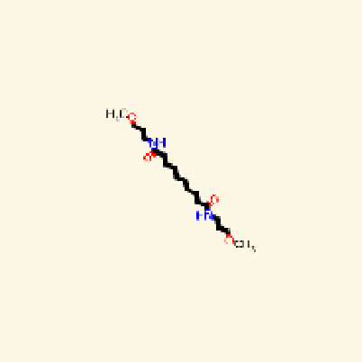 COCCCNC(=O)CCCCCCCCC(=O)NCCCOC